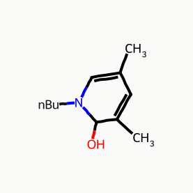 CCCCN1C=C(C)C=C(C)C1O